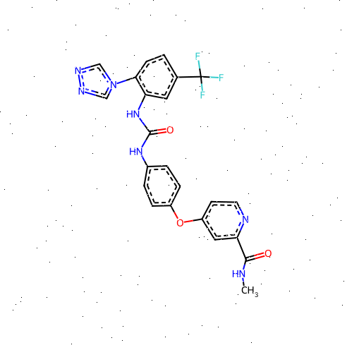 CNC(=O)c1cc(Oc2ccc(NC(=O)Nc3cc(C(F)(F)F)ccc3-n3cnnc3)cc2)ccn1